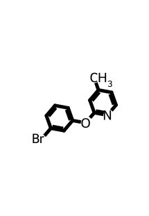 Cc1ccnc(Oc2cccc(Br)c2)c1